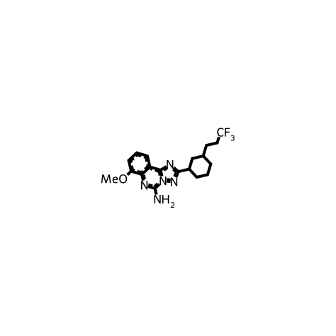 COc1cccc2c1nc(N)n1nc(C3CCCC(CCC(F)(F)F)C3)nc21